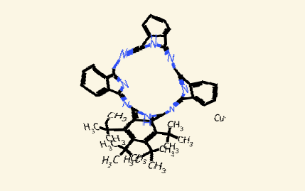 CC(C)(C)c1c(C(C)(C)C)c(C(C)(C)C)c2c3nc4nc(nc5[nH]c(nc6nc(nc([nH]3)c2c1C(C)(C)C)-c1ccccc1-6)c1ccccc51)-c1ccccc1-4.[Cu]